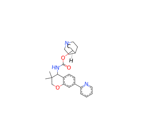 CC1(C)COc2cc(-c3ccccn3)ccc2C1NC(=O)O[C@H]1CN2CCC1CC2